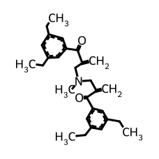 C=C(CN(C)CC(=C)C(=O)c1cc(CC)cc(CC)c1)C(=O)c1cc(CC)cc(CC)c1